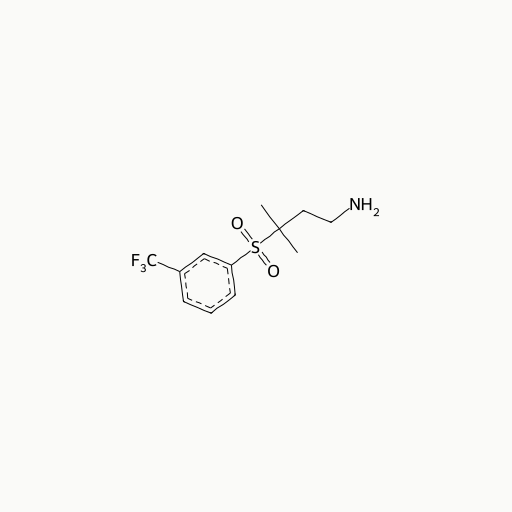 CC(C)(CCN)S(=O)(=O)c1cccc(C(F)(F)F)c1